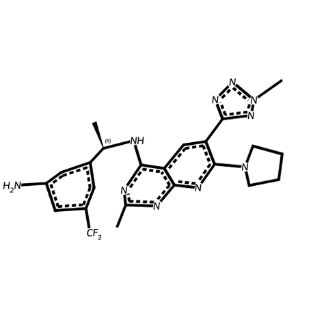 Cc1nc(N[C@H](C)c2cc(N)cc(C(F)(F)F)c2)c2cc(-c3nnn(C)n3)c(N3CCCC3)nc2n1